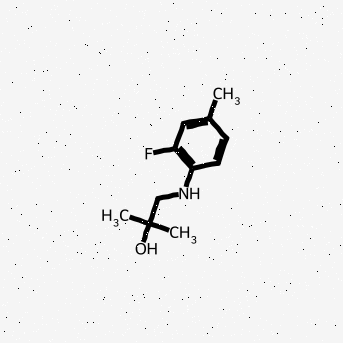 Cc1ccc(NCC(C)(C)O)c(F)c1